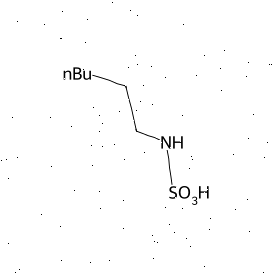 CCCCCCNS(=O)(=O)O